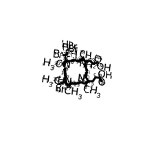 Br.Br.CC1=C(CCC(=O)O)c2cc3[nH]c(cc4nc(cc5[nH]c(cc1n2)c(C)c5C(C)Br)C(C)=C4C(C)Br)c(C)c3CCC(=O)O